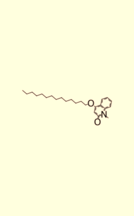 CCCCCCCCCCCCCCOc1cc(=O)n(C)c2ccccc12